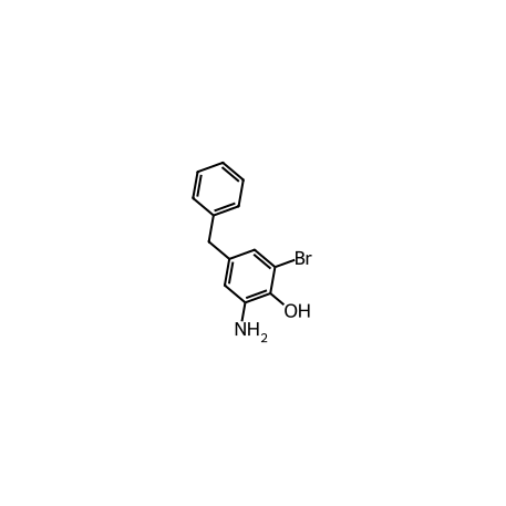 Nc1cc(Cc2ccccc2)cc(Br)c1O